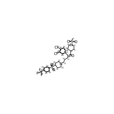 CS(=O)(=O)N1CCC(C(=O)N(CCCN2CCC(S(=O)(=O)c3ccc(C(F)(F)F)cc3)CC2)c2ccc(Cl)c(Cl)c2)CC1